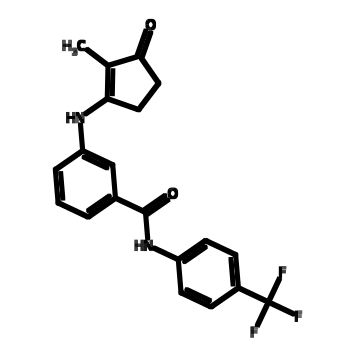 CC1=C(Nc2cccc(C(=O)Nc3ccc(C(F)(F)F)cc3)c2)CCC1=O